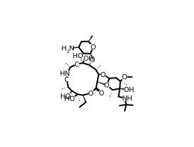 CC[C@@H]1OC(=O)[C@H](C)[C@H](OC2C[C@@](C)(OC)[C@](O)(CNC(C)(C)C)[C@H](C)O2)[C@@H](C)[C@@H](O[C@@H]2O[C@H](C)C[C@H](N)[C@H]2O)[C@](C)(O)C[C@@H](C)NC[C@@H](C)[C@H](O)[C@]1(C)O